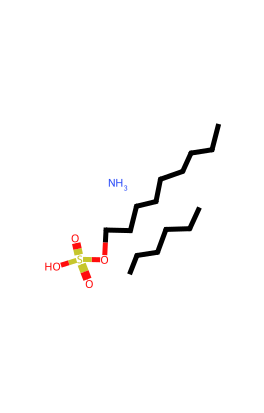 CCCCCC.CCCCCCCCCOS(=O)(=O)O.N